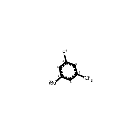 [CH2]C(CC)c1cc(F)cc(C(F)(F)F)c1